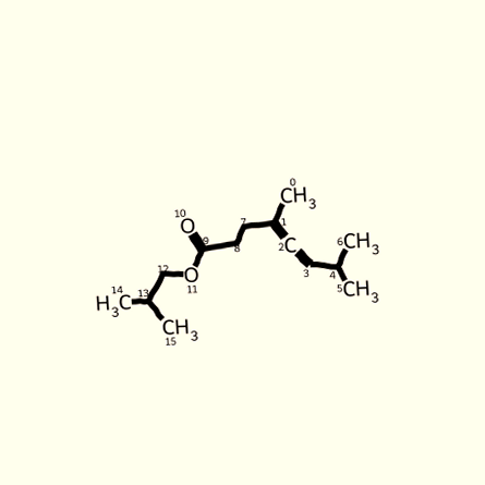 CC(=C=CC(C)C)CCC(=O)OCC(C)C